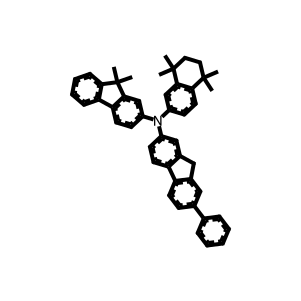 CC1(C)CCC(C)(C)c2cc(N(c3ccc4c(c3)Cc3cc(-c5ccccc5)ccc3-4)c3ccc4c(c3)C(C)(C)c3ccccc3-4)ccc21